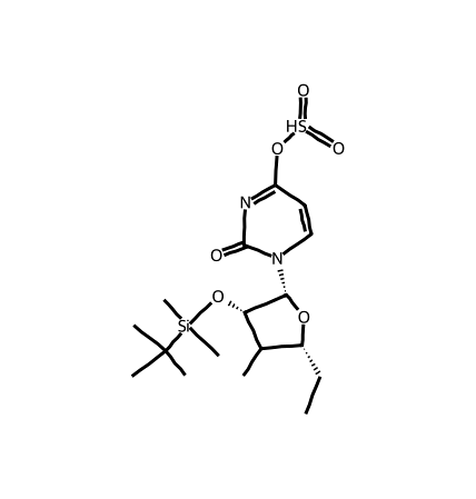 CC[C@H]1O[C@@H](n2ccc(O[SH](=O)=O)nc2=O)[C@@H](O[Si](C)(C)C(C)(C)C)C1C